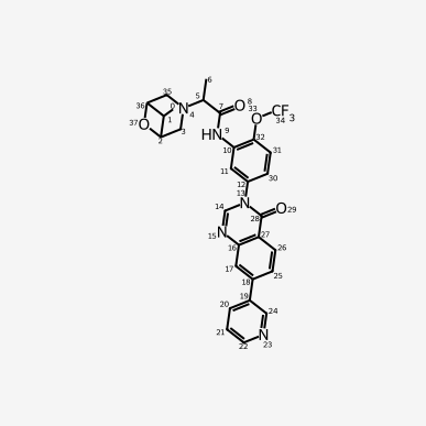 CC1C2CN(C(C)C(=O)Nc3cc(-n4cnc5cc(-c6cccnc6)ccc5c4=O)ccc3OC(F)(F)F)CC1O2